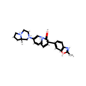 Cc1nc2ccc(C3=C\C(=O)N4C=C(N5CCN6CCC[C@H]6C5)C=C\C4=C/C=C/3)cc2o1